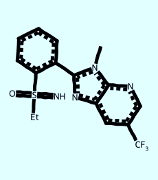 CCS(=N)(=O)c1c[c]ccc1-c1nc2cc(C(F)(F)F)cnc2n1C